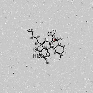 C=C(C)C1CCC(C)=CC1c1c(OC(C)=O)cc(CCCCC)c(C(=O)O)c1OC(C)=O